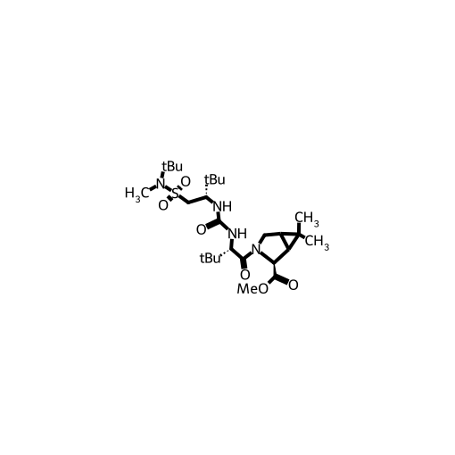 COC(=O)[C@@H]1C2C(CN1C(=O)[C@@H](NC(=O)N[C@H](CS(=O)(=O)N(C)C(C)(C)C)C(C)(C)C)C(C)(C)C)C2(C)C